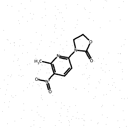 Cc1nc(N2CCOC2=O)ccc1[N+](=O)[O-]